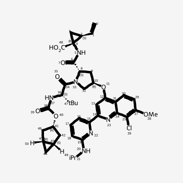 C=C[C@@H]1C[C@]1(NC(=O)[C@@H]1C[C@@H](Oc2cc(-c3cccc(NC(C)C)n3)nc3c(Cl)c(OC)ccc23)CN1C(=O)[C@@H](NC(=O)O[C@@H]1C[C@@H]2C[C@@H]2C1)C(C)(C)C)C(=O)O